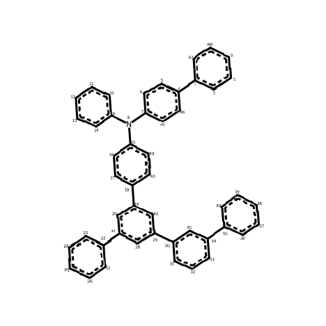 c1ccc(-c2ccc(N(c3ccccc3)c3ccc(-c4cc(-c5ccccc5)cc(-c5cccc(-c6ccccc6)c5)c4)cc3)cc2)cc1